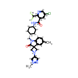 Cc1ccc2c(c1)C1(CN(c3cnn(C)c3)C1)C(=O)N2C[C@H]1CC[C@H](NC(=O)c2cc(Cl)cnc2C(F)F)CC1